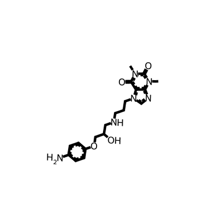 Cn1c(=O)c2c(ncn2CCCNCC(O)COc2ccc(N)cc2)n(C)c1=O